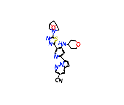 N#Cc1cnn2c(-c3cc(NC4CCOCC4)c(-c4nnc(N5CC6CC(C5)O6)s4)cn3)ccc2c1